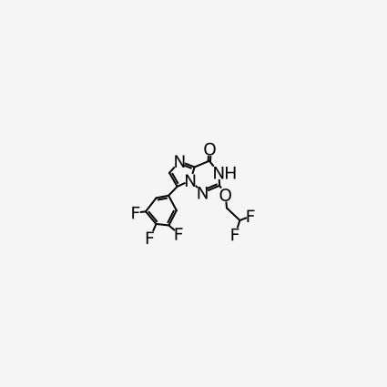 O=c1[nH]c(OCC(F)F)nn2c(-c3cc(F)c(F)c(F)c3)cnc12